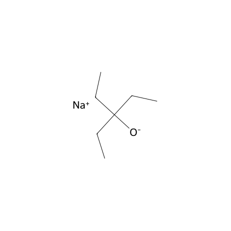 CCC([O-])(CC)CC.[Na+]